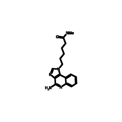 CNC(=O)CCCCCn1cnc2c(N)nc3ccccc3c21